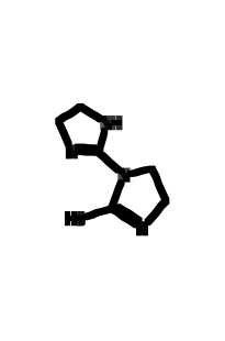 SC1=NCCN1C1=NCCN1